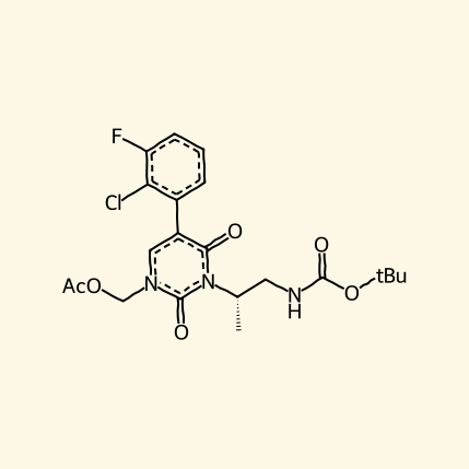 CC(=O)OCn1cc(-c2cccc(F)c2Cl)c(=O)n([C@@H](C)CNC(=O)OC(C)(C)C)c1=O